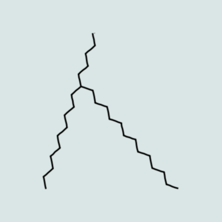 [CH2]CCCCC(CCCCCCCCCC)CCCCCCCCCCCCC